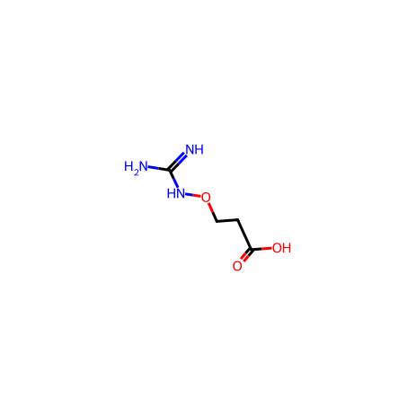 N=C(N)NOCCC(=O)O